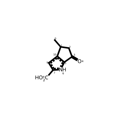 CC1CC(=O)c2[nH]c(C(=O)O)cc21